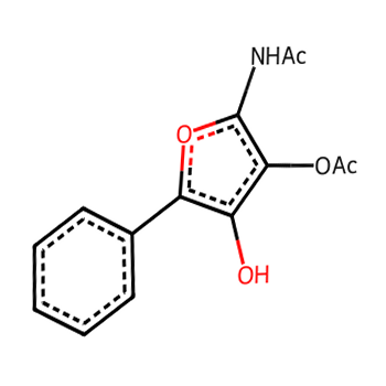 CC(=O)Nc1oc(-c2ccccc2)c(O)c1OC(C)=O